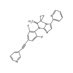 C=C1N(c2c(F)cc(C#Cc3cccnc3)cc2F)c2ncc(-c3ccccn3)n2C12CC2